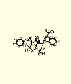 CC(=O)c1nn(CC(=O)N2[C@H](C(=O)O)C[C@H]3C[C@@]32[C@]2(C(N)=O)C[C@@H]2c2ccccc2)c2cnccc12